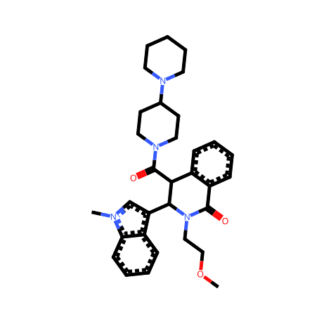 COCCN1C(=O)c2ccccc2C(C(=O)N2CCC(N3CCCCC3)CC2)C1c1cn(C)c2ccccc12